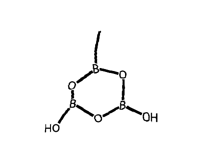 CB1OB(O)OB(O)O1